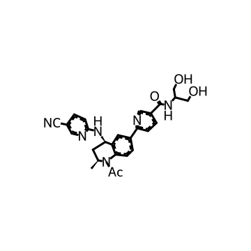 CC(=O)N1c2ccc(-c3ccc(C(=O)NC(CO)CO)cn3)cc2[C@H](Nc2ccc(C#N)cn2)C[C@@H]1C